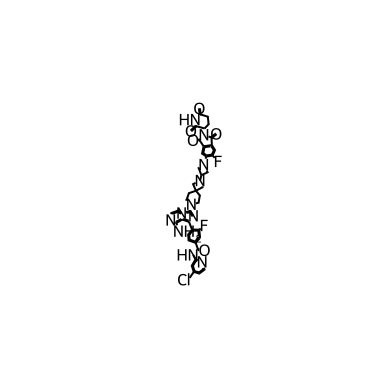 Nc1nccn2c(N3CCC4(CC3)CN(C3CN(c5cc6c(cc5F)C(=O)N(C5CCC(=O)NC5=O)C6=O)C3)C4)nc(-c3ccc(C(=O)Nc4cc(Cl)ccn4)cc3F)c12